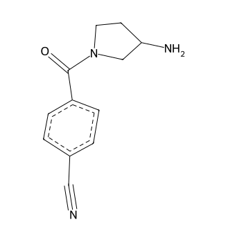 N#Cc1ccc(C(=O)N2CCC(N)C2)cc1